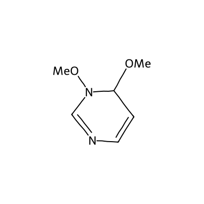 COC1C=CN=CN1OC